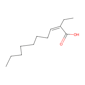 CCCCCCCC=C(CC)C(=O)O